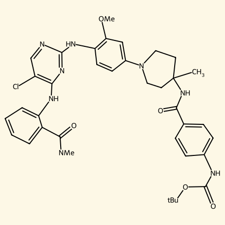 CNC(=O)c1ccccc1Nc1nc(Nc2ccc(N3CCC(C)(NC(=O)c4ccc(NC(=O)OC(C)(C)C)cc4)CC3)cc2OC)ncc1Cl